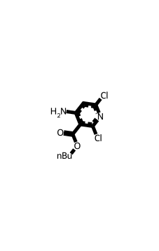 CCCCOC(=O)c1c(N)cc(Cl)nc1Cl